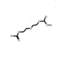 CCC(=O)OCCOCCOC(CC)OC